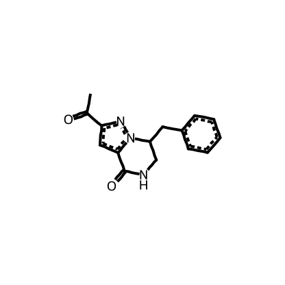 CC(=O)c1cc2n(n1)C(Cc1ccccc1)CNC2=O